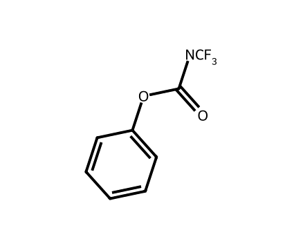 O=C(NC(F)(F)F)Oc1ccccc1